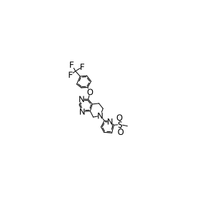 CS(=O)(=O)c1cccc(N2CCc3c(ncnc3Oc3ccc(C(F)(F)F)cc3)C2)n1